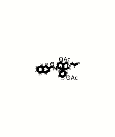 C=CCN1CCC2(c3cccc(OC(C)=O)c3)CC(NC(=O)c3ccc4ccccc4c3)CC(OC(C)=O)C2C1